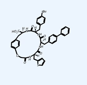 CC(C)(C)c1ccc(C[C@@H]2NC(=O)[C@@H](Cc3ccc(-c4ccccc4)cc3)NC(=O)[C@H](Cc3cccs3)NC(=O)COc3ccc(cc3)C[C@@H](C(=O)O)NC2=O)cc1